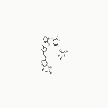 NCC(Cn1ncn(Cc2ccc(/C=C/c3cnc4c(c3)NC(=O)CO4)s2)c1=O)=C(F)F.O=C(O)C(F)(F)F